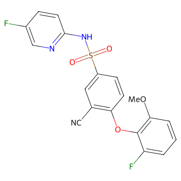 COc1cccc(F)c1Oc1ccc(S(=O)(=O)Nc2ccc(F)cn2)cc1C#N